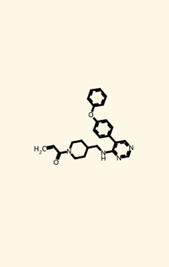 C=CC(=O)N1CCC(CNc2ncncc2-c2ccc(Oc3ccccc3)cc2)CC1